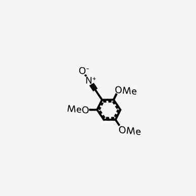 COc1cc(OC)c(C#[N+][O-])c(OC)c1